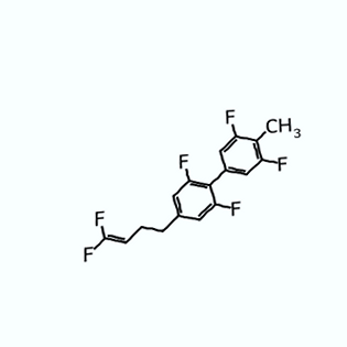 Cc1c(F)cc(-c2c(F)cc(CCC=C(F)F)cc2F)cc1F